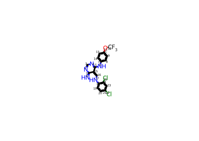 N=C1N=CN=C(Nc2ccc(OC(F)(F)F)cc2)/C1=C/Nc1ccc(Cl)cc1Cl